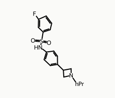 CCCN1CC(c2ccc(NS(=O)(=O)c3cccc(F)c3)cc2)C1